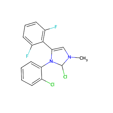 CN1C=C(c2c(F)cccc2F)N(c2ccccc2Cl)C1Cl